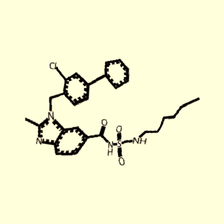 CCCCCCNS(=O)(=O)NC(=O)c1ccc2nc(C)n(Cc3ccc(-c4ccccc4)cc3Cl)c2c1